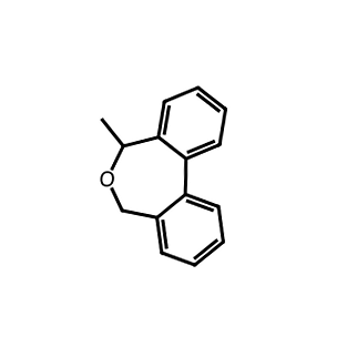 CC1OCc2ccccc2-c2ccccc21